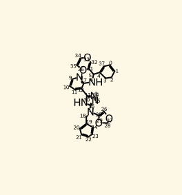 C1=CCCC(C(Nc2ncccc2-c2nnc(N(Cc3ccccc3)C3=COCO3)[nH]2)C2=COC=CO2)=C1